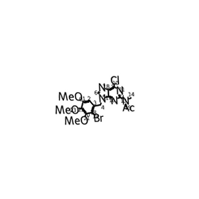 COc1cc(Cn2cnc3c(Cl)nc(N(C)C(C)=O)nc32)c(Br)c(OC)c1OC